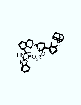 Cc1c(OC23CC4CC(CC(C4)C2)C3)cccc1-c1ccc(N2CCc3cccc(C(=O)Nc4nc5ccccc5s4)c3C2)nc1OC(=O)O